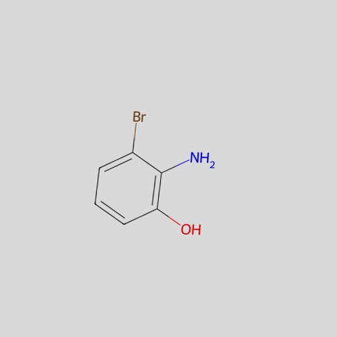 Nc1c(O)cccc1Br